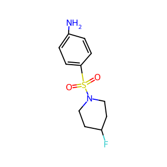 Nc1ccc(S(=O)(=O)N2CCC(F)CC2)cc1